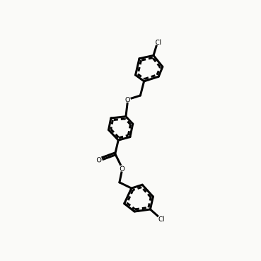 O=C(OCc1ccc(Cl)cc1)c1ccc(OCc2ccc(Cl)cc2)cc1